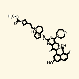 C#Cc1c(F)ccc2cc(O)cc(-c3ncc4c(N5CCCOCC5)nc(OC[C@]56CCC[C@H]5N(CCC5CN(C(=O)OC)C5)CCC6)nc4c3F)c12